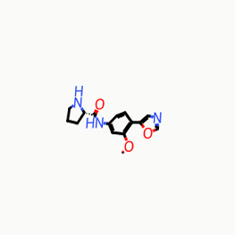 COc1cc(NC(=O)[C@@H]2CCCN2)ccc1-c1cnco1